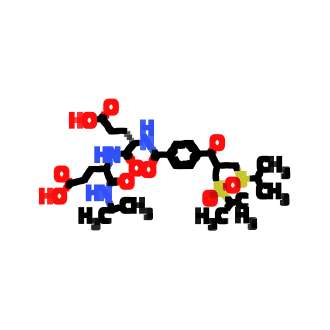 CC(C)NC(=O)C(CCC(=O)O)NC(=O)[C@H](CCC(=O)O)NC(=O)c1ccc(C(=O)C(CSC(C)C)CS(=O)(=O)C(C)C)cc1